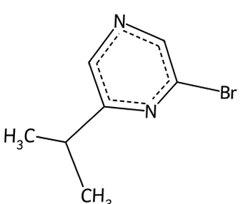 CC(C)c1cncc(Br)n1